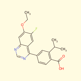 CCOc1cc2ncnc(-c3ccc(C(=O)O)c(C(C)C)c3)c2cc1F